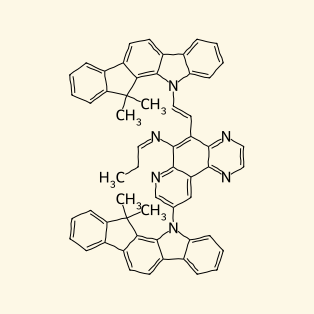 CC/C=N\c1c(/C=C/n2c3ccccc3c3ccc4c(c32)C(C)(C)c2ccccc2-4)c2nccnc2c2cc(-n3c4ccccc4c4ccc5c(c43)C(C)(C)c3ccccc3-5)cnc12